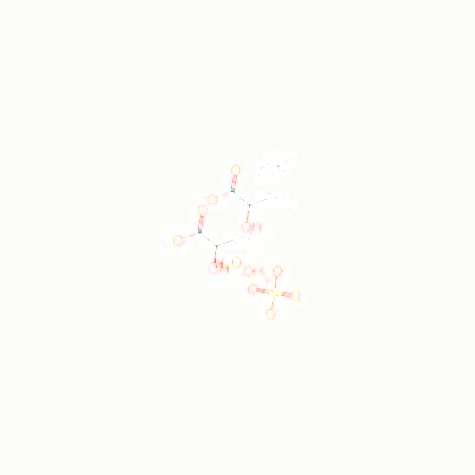 CC(O)C(=O)[O-].CC(O)C(=O)[O-].O.O.O=S(=O)([O-])[O-].[Ca+2].[Ca+2]